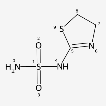 NS(=O)(=O)NC1=NCCS1